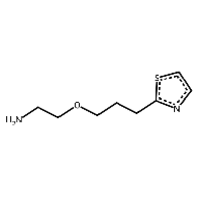 NCCOCCCc1nccs1